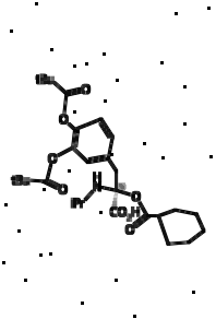 CC(C)N[C@@](Cc1ccc(OC(=O)C(C)(C)C)c(OC(=O)C(C)(C)C)c1)(OC(=O)C1CCCCC1)C(=O)O